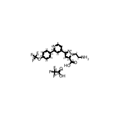 NCCn1nc(-c2ccnc(-c3ccc(OC(F)(F)F)cc3)c2)cc1C(=O)O.O=C(O)C(F)(F)F